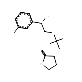 CC(C)(C[C@@H]1CCNC1=O)NC[C@H](O)c1cccc(F)c1.Cl